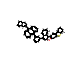 c1cc(-c2c3ccccc3c(-c3ccc4ccccc4c3)c3ccccc23)cc(-c2cc3oc4cc5sc6ccccc6c5cc4c3c3ccccc23)c1